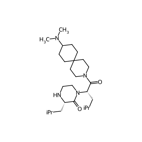 CC(C)C[C@@H]1NCCN([C@@H](CC(C)C)C(=O)N2CCC3(CCC(N(C)C)CC3)CC2)C1=O